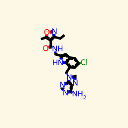 CCc1noc(C)c1C(=O)NCc1cc2cc(Cl)cc(Cn3cnc4c(N)ncnc43)c2[nH]1